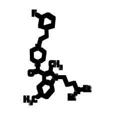 CCN(CC)CCCn1c(C)c(C(=O)N2CCN(CCc3cccc(F)c3)CC2)c2cc(C)ccc21